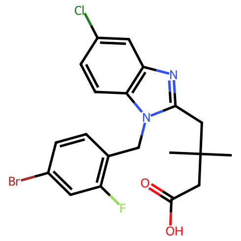 CC(C)(CC(=O)O)Cc1nc2cc(Cl)ccc2n1Cc1ccc(Br)cc1F